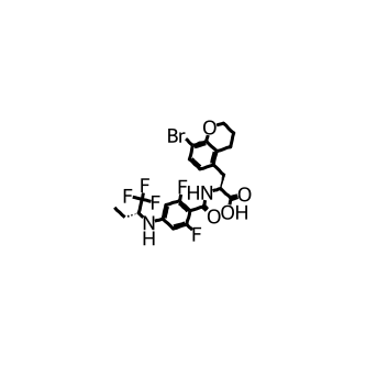 CC[C@@H](Nc1cc(F)c(C(=O)N[C@@H](Cc2ccc(Br)c3c2CCCO3)C(=O)O)c(F)c1)C(F)(F)F